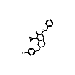 CCc1ccc(CN2CCn3cc(OCc4ccccc4)c(=O)c(C4CC4)c3C2)cc1